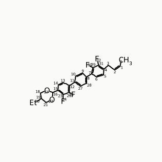 C/C=C\Cc1ccc(-c2ccc(-c3ccc(C4OCC(CC)CO4)c(F)c3F)cc2)c(F)c1F